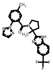 Cc1ccc(-n2nccn2)c(C(=O)N2CCCC2(C)c2nc3cc(C(F)(F)F)ccc3[nH]2)c1